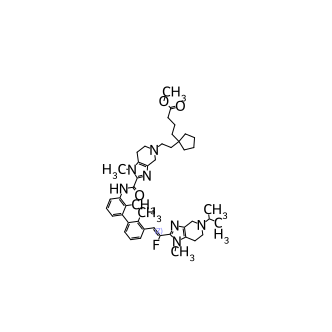 COC(=O)CCCC1(CCN2CCc3c(nc(C(=O)Nc4cccc(-c5cccc(/C=C(\F)c6nc7c(n6C)CCN(C(C)C)C7)c5C)c4C)n3C)C2)CCCC1